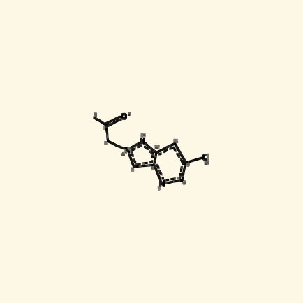 CC(=O)Cn1cc2ncc(Cl)cc2n1